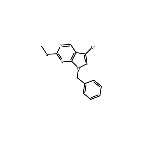 CSc1ncc2c(Br)nn(Cc3ccccc3)c2n1